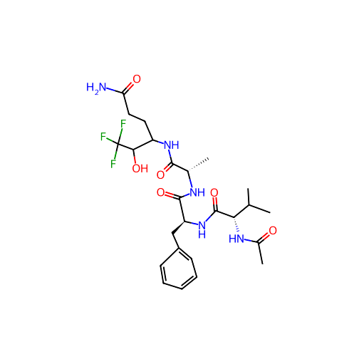 CC(=O)N[C@H](C(=O)N[C@@H](Cc1ccccc1)C(=O)N[C@@H](C)C(=O)NC(CCC(N)=O)C(O)C(F)(F)F)C(C)C